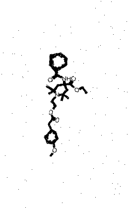 CCOC(=O)C1(NC(=O)c2ccccc2)CC(C)(C)N(CCOC(=O)Cc2ccc(OC)cc2)C(C)(C)C1